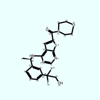 C[C@@H](Nc1ncnc2sc(C(=O)N3CCOCC3)cc12)c1cccc(C(F)(F)CO)c1